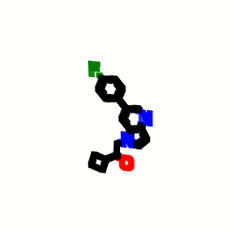 O=C(Cn1ccc2ncc(-c3ccc(F)cc3)cc21)C1CCC1